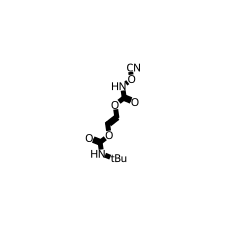 CC(C)(C)NC(=O)OC=COC(=O)NOC#N